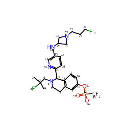 CC(C)(F)CN1CCc2cc(OS(=O)(=O)C(F)(F)F)ccc2C1c1ccc(NC2CN(CCCF)C2)cn1